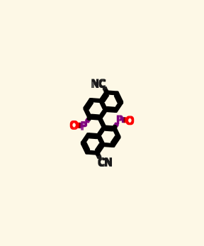 N#Cc1cccc2c(-c3c(P=O)ccc4c(C#N)cccc34)c(P=O)ccc12